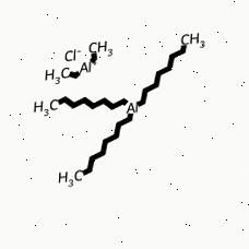 CCCCCCC[CH2][Al]([CH2]CCCCCCC)[CH2]CCCCCCC.C[CH2][Al+][CH2]C.[Cl-]